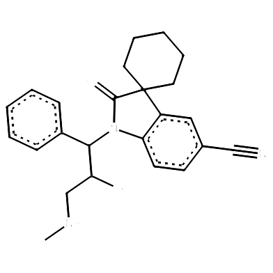 CNCC(O)C(c1ccccc1)N1C(=O)C2(CCCCC2)c2cc(C#N)ccc21